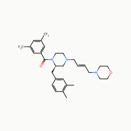 Cc1ccc(C[C@@H]2CN(CC=CCN3CCOCC3)CCN2C(=O)c2cc(C(F)(F)F)cc(C(F)(F)F)c2)cc1C